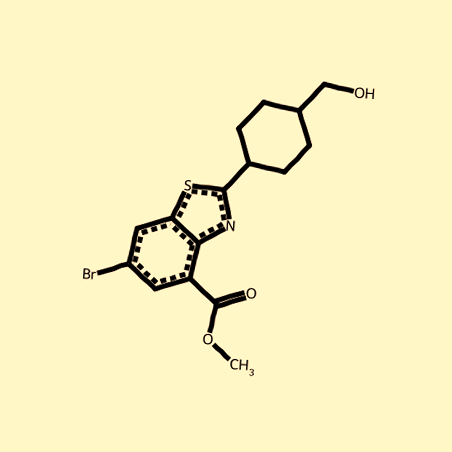 COC(=O)c1cc(Br)cc2sc(C3CCC(CO)CC3)nc12